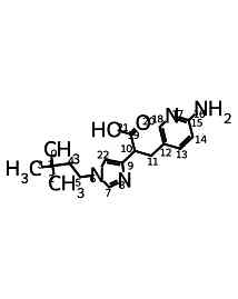 CC(C)(C)CCn1cnc(C(Cc2ccc(N)nc2)C(=O)O)c1